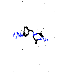 C[C@@H]1CN[C@@H](C)CN1Cc1ccc(N)cc1